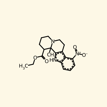 CCOC(=O)C1CCCN2CCc3c([nH]c4cccc([N+](=O)[O-])c34)C12C